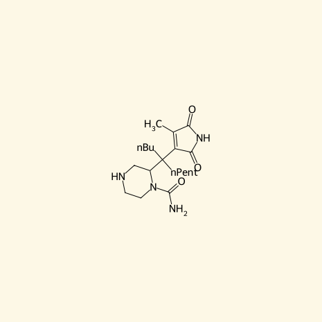 CCCCCC(CCCC)(C1=C(C)C(=O)NC1=O)C1CNCCN1C(N)=O